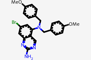 COc1ccc(CN(Cc2ccc(OC)cc2)c2cc(Br)cc3nc(N)ncc23)cc1